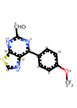 O=Cc1nc(-c2ccc(OC(F)(F)F)cc2)c2ncsc2n1